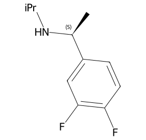 CC(C)N[C@@H](C)c1ccc(F)c(F)c1